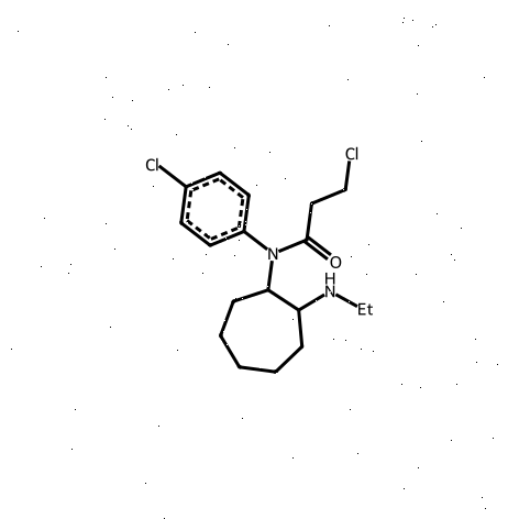 CCNC1CCCCCC1N(C(=O)CCCl)c1ccc(Cl)cc1